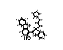 O=C(Nc1cnccc1OCCCN1CCCC1)C1=C(O)CCc2c1nc1ccccn21